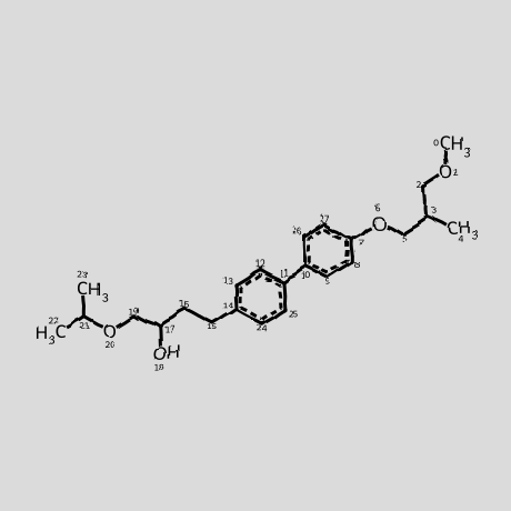 COCC(C)COc1ccc(-c2ccc(CCC(O)COC(C)C)cc2)cc1